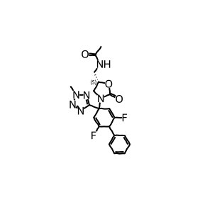 CC(=O)NC[C@H]1CN(C2(c3nnn(C)n3)C=C(F)C(c3ccccc3)C(F)=C2)C(=O)O1